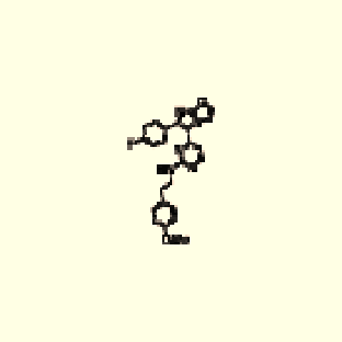 COc1ccc(CCNc2nccc(-c3c(-c4ccc(F)cc4)nc4occn34)n2)cc1